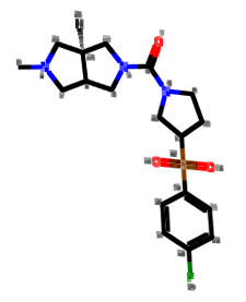 CN1CC2CN(C(=O)N3CCC(S(=O)(=O)c4ccc(F)cc4)C3)C[C@@H]2C1